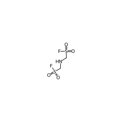 O=S(=O)(F)CNCS(=O)(=O)F